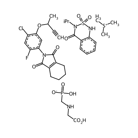 C#CC(C)Oc1cc(N2C(=O)C3=C(CCCC3)C2=O)c(F)cc1Cl.CC(C)N1C(=O)c2ccccc2NS1(=O)=O.C[S+](C)C.O=C(O)CNCP(=O)([O-])O